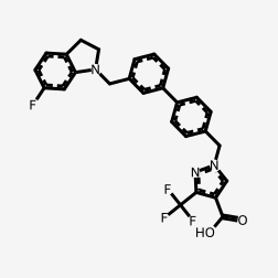 O=C(O)c1cn(Cc2ccc(-c3cccc(CN4CCc5ccc(F)cc54)c3)cc2)nc1C(F)(F)F